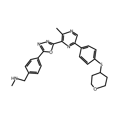 CNCc1ccc(-c2nnc(-c3nc(-c4ccc(SC5CCOCC5)cc4)cnc3C)o2)cc1